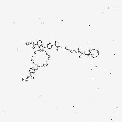 COC(=O)c1cccc(CN2CCOCCOCCN(C(c3ccc(C(=O)NCCOCCOCCNC(=O)OC[C@@H]4[C@@H]5CCC#CCC[C@@H]54)cc3)c3cccc(C(=O)OC)n3)CCOCCOCC2)n1